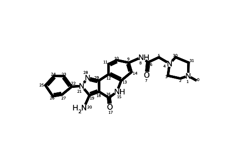 CN1CCN(CC(=O)Nc2ccc3c(c2)[nH]c(=O)c2c(N)n(-c4ccccc4)nc23)CC1